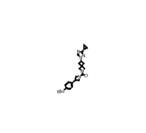 CC(C)(C)c1ccc(C2CN(C(=O)N3CC4(CC(n5cnc(C6CC6)n5)C4)C3)C2)cc1